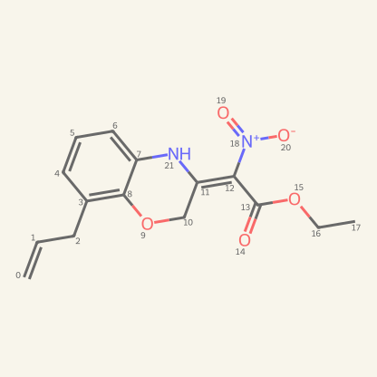 C=CCc1cccc2c1OCC(=C(C(=O)OCC)[N+](=O)[O-])N2